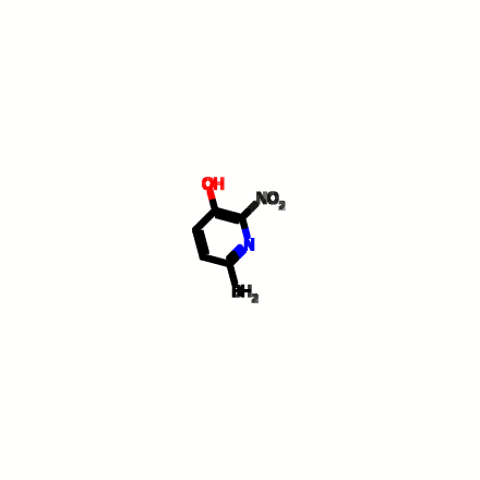 Bc1ccc(O)c([N+](=O)[O-])n1